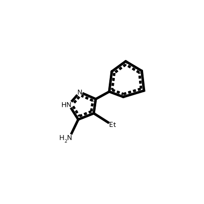 CCc1c(-c2ccccc2)n[nH]c1N